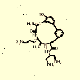 C=C1NC(C(=O)NC(CN)CN)Cc2cccc(c2)-c2ccc(O)c(c2)C[C@H](N)C(=O)N[C@H]1CCCN